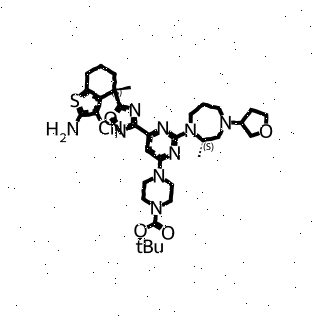 C[C@H]1CN(C2CCOC2)CCCN1c1nc(-c2noc([C@@]3(C)CCCc4sc(N)c(C#N)c43)n2)cc(N2CCN(C(=O)OC(C)(C)C)CC2)n1